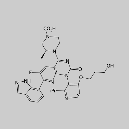 CC(C)c1nccc(OCCCO)c1-n1c(=O)nc(N2CCN(C(=O)O)C[C@@H]2C)c2cc(F)c(-c3cccc4cn[nH]c34)nc21